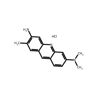 Cc1cc2cc3ccc(N(C)C)cc3nc2cc1N.Cl